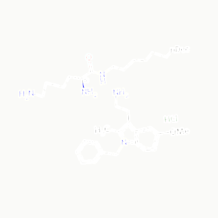 CCCCCCCCCCCCCCCCNC(=O)[C@@H](N)CCCCN.COc1ccc2c(c1)c(CCN)c(C)n2Cc1ccccc1.Cl